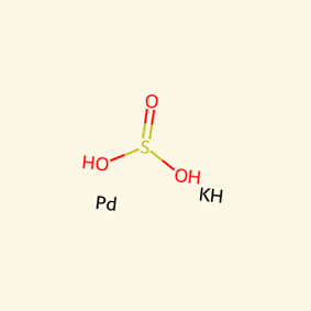 O=S(O)O.[KH].[Pd]